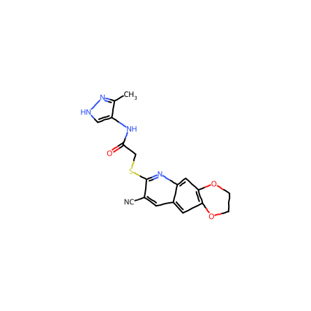 Cc1n[nH]cc1NC(=O)CSc1nc2cc3c(cc2cc1C#N)OCCO3